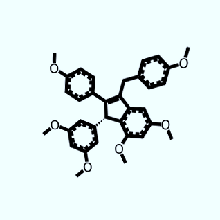 COc1ccc(CC2=C(c3ccc(OC)cc3)[C@@H](c3cc(OC)cc(OC)c3)c3c(OC)cc(OC)cc32)cc1